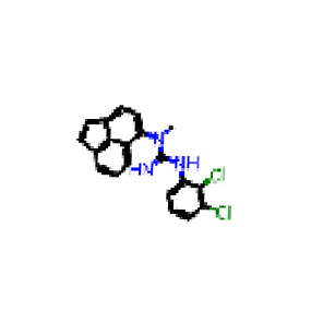 CN(C(=N)Nc1cccc(Cl)c1Cl)c1ccc2c3c(cccc13)C=C2